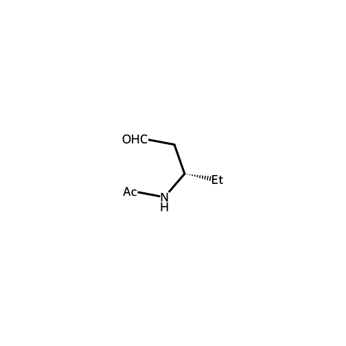 CC[C@@H](CC=O)NC(C)=O